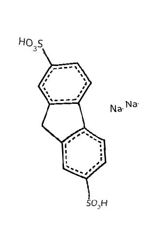 O=S(=O)(O)c1ccc2c(c1)Cc1cc(S(=O)(=O)O)ccc1-2.[Na].[Na]